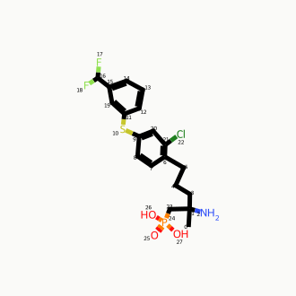 CC(N)(CCCc1ccc(Sc2cccc(C(F)F)c2)cc1Cl)CP(=O)(O)O